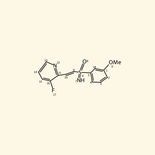 COc1cccc(S(=N)(=O)/C=C/c2ncccc2F)c1